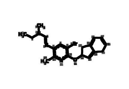 CCN(C)C=Nc1cc(Br)c(OC2C=C3CC=CC=C3C2)nc1C